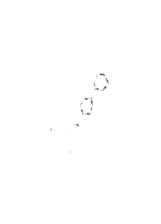 [CH2][C@H](C)[C@@H](OC(=O)c1ccc(-c2ccccc2)cc1)[C@H](F)OOC